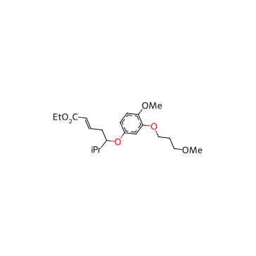 CCOC(=O)C=CCC(Oc1ccc(OC)c(OCCCOC)c1)C(C)C